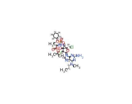 CCCN(C)c1nc(N)nc2c1ncn2[C@@H]1O[C@]2(CCl)C(O[P@@](=O)(N[C@@H](C)C(=O)OC(C)C)Oc3ccccc3)[C@]2(O)[C@H]1F